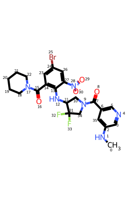 CNc1cncc(C(=O)N2CC(Nc3c(C(=O)N4CCCCC4)cc(Br)cc3[N+](=O)[O-])C(F)(F)C2)c1